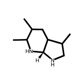 CC1CC2C(C)CN[C@@H]2NC1C